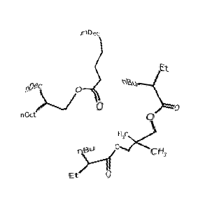 CCCCC(CC)C(=O)OCC(C)(C)COC(=O)C(CC)CCCC.CCCCCCCCCCCCCC(=O)OCC(CCCCCCCC)CCCCCCCCCC